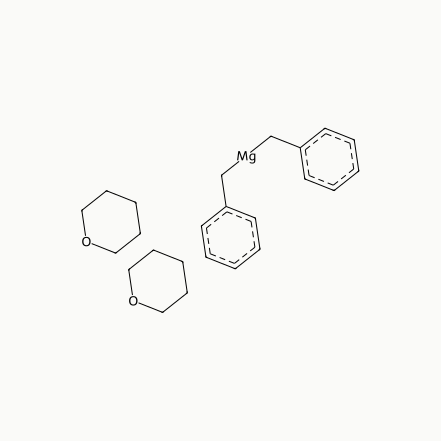 C1CCOCC1.C1CCOCC1.c1ccc([CH2][Mg][CH2]c2ccccc2)cc1